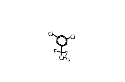 CC(F)(F)c1cc(Cl)cc(Cl)c1